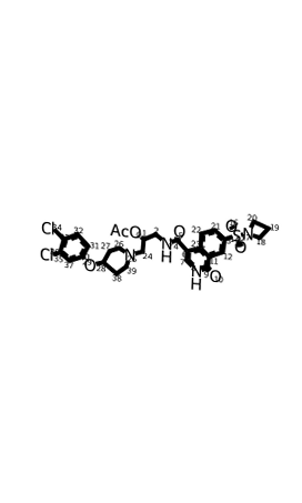 CC(=O)OC(CNC(=O)c1c[nH]c(=O)c2cc(S(=O)(=O)N3CCC3)ccc12)CN1CCC(Oc2ccc(Cl)c(Cl)c2)CC1